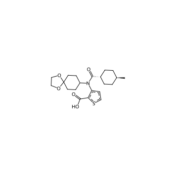 C[C@H]1CC[C@H](C(=O)N(c2ccsc2C(=O)O)C2CCC3(CC2)OCCO3)CC1